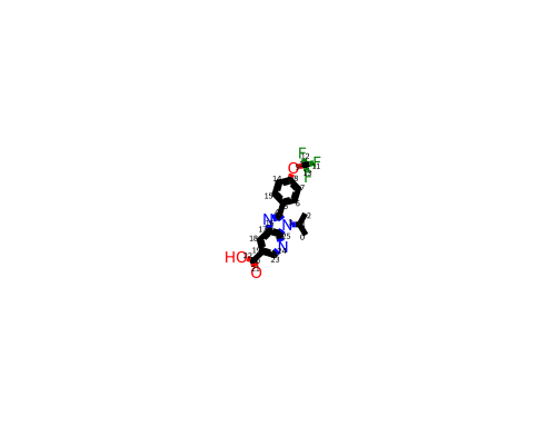 CC(C)n1c(-c2ccc(OC(F)(F)F)cc2)nc2cc(C(=O)O)cnc21